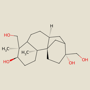 C[C@]1(CO)C2CC[C@H]3CC4C[C@]3(CC[C@]4(O)CO)[C@@]2(C)CC[C@H]1O